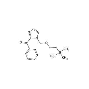 C[Si](C)(C)CCOCn1ccnc1C(=O)c1ccccc1